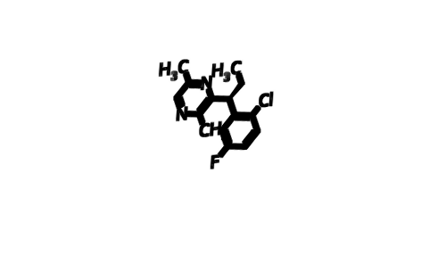 CC[C@@H](c1cc(F)ccc1Cl)c1nc(C)cnc1C